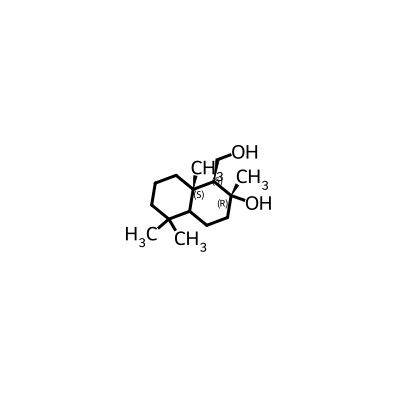 CC1(C)CCC[C@@]2(C)C1CC[C@@](C)(O)[C@@H]2CO